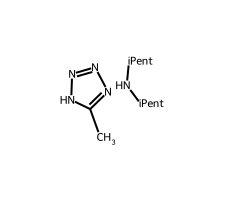 CCCC(C)NC(C)CCC.Cc1nnn[nH]1